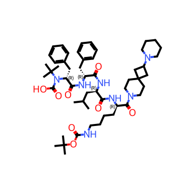 CC(C)C[C@@H](NC(=O)[C@@H](Cc1ccccc1)NC(=O)[C@@H](Cc1ccccc1)N(C(=O)O)C(C)(C)C)C(=O)N[C@H](CCCCNC(=O)OC(C)(C)C)C(=O)N1CCC2(CC1)CC(N1CCCCC1)C2